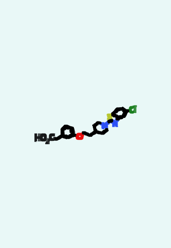 O=C(O)Cc1cccc(OCCC2CCN(c3nc4cc(Cl)ccc4s3)CC2)c1